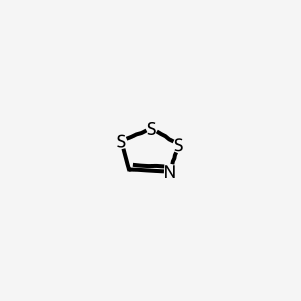 C1=NSSS1